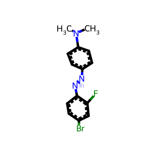 CN(C)c1ccc(/N=N/c2ccc(Br)cc2F)cc1